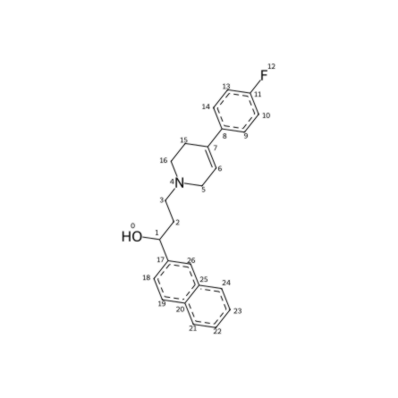 OC(CCN1CC=C(c2ccc(F)cc2)CC1)c1ccc2ccccc2c1